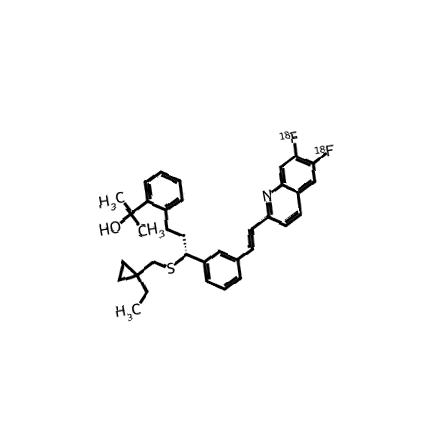 CCC1(CS[C@H](CCc2ccccc2C(C)(C)O)c2cccc(/C=C/c3ccc4cc([18F])c([18F])cc4n3)c2)CC1